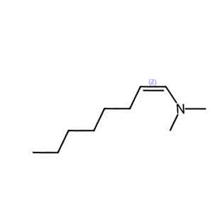 CCCCCC/C=C\N(C)C